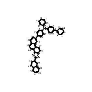 c1ccc(-c2ccc(N(c3ccccc3)c3ccc(-c4ccc5ccc6c(ccc7sc(-c8ccc9ccccc9c8)nc76)c5c4)cc3)cc2)cc1